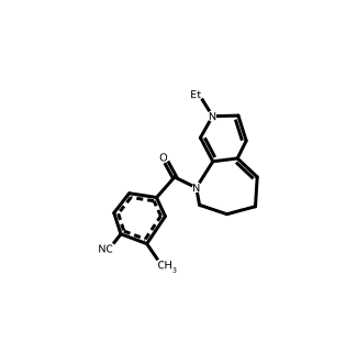 CCN1C=CC2=CCCCN(C(=O)c3ccc(C#N)c(C)c3)C2=C1